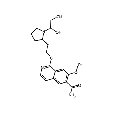 CC(C)Oc1cc2c(OCC[C@H]3CCCN3C(O)CC#N)nccc2cc1C(N)=O